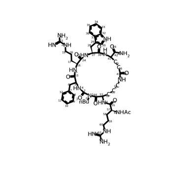 CCCCN1C(=O)NC(Cc2ccccc2)C(=O)N[C@@H](CCCNC(=N)N)C(=O)N[C@@H](Cc2c[nH]c3ccccc23)C(=O)NC(C(N)=O)CCC(=O)NCCCC(NC(=O)[C@H](CCCNC(=N)N)NC(C)=O)C1=O